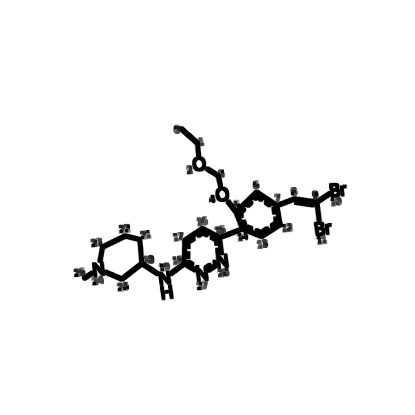 CCOCOc1cc(C=C(Br)Br)ccc1-c1ccc(NC2CCCN(C)C2)nn1